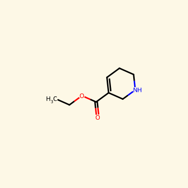 CCOC(=O)C1=CCCNC1